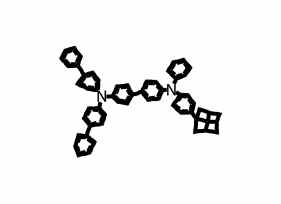 c1ccc(-c2ccc(N(c3ccc(-c4ccccc4)cc3)c3ccc(-c4ccc(N(c5ccccc5)c5ccc(C67CC8CC9CC(C6)C987)cc5)cc4)cc3)cc2)cc1